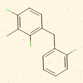 Cc1c(Cl)ccc(Cc2ccccc2Cl)c1Cl